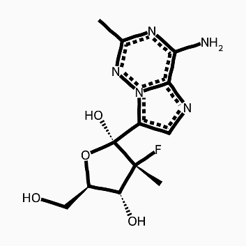 Cc1nc(N)c2ncc([C@]3(O)O[C@H](CO)[C@@H](O)[C@@]3(C)F)n2n1